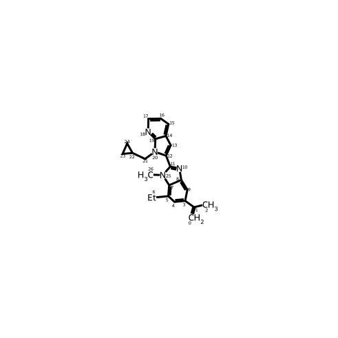 C=C(C)c1cc(CC)c2c(c1)nc(-c1cc3cccnc3n1CC1CC1)n2C